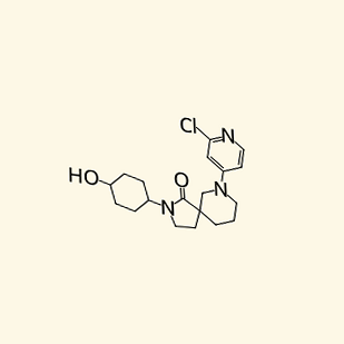 O=C1N(C2CCC(O)CC2)CCC12CCCN(c1ccnc(Cl)c1)C2